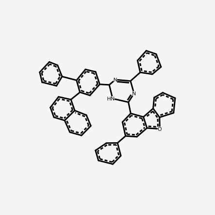 c1ccc(C2=NC(c3ccc(-c4ccccc4)c(-c4cccc5ccccc45)c3)NC(c3cc(-c4ccccc4)cc4oc5ccccc5c34)=N2)cc1